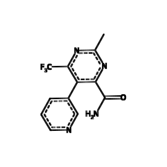 Cc1nc(C(N)=O)c(-c2cccnc2)c(C(F)(F)F)n1